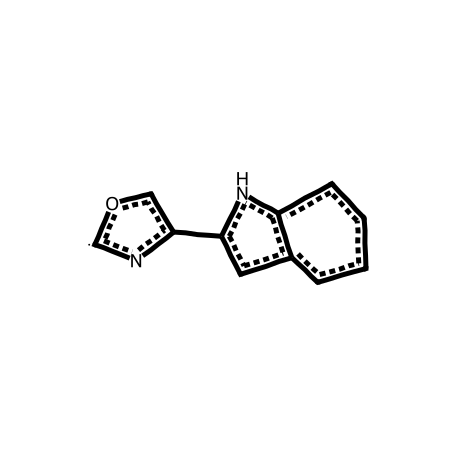 [c]1nc(-c2cc3ccccc3[nH]2)co1